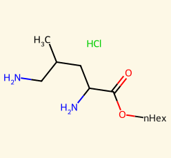 CCCCCCOC(=O)C(N)CC(C)CN.Cl